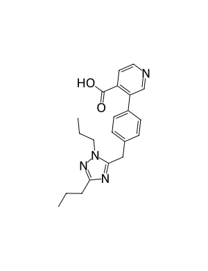 CCCc1nc(Cc2ccc(-c3cnccc3C(=O)O)cc2)n(CCC)n1